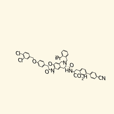 CC(C)c1ccccc1CN1Cc2cc3c(cc2C[C@H]1C(=O)N[C@@H](Cc1ccc(-c2ccc(C#N)cc2)cc1)C(=O)O)N(C)C(=O)C(c1ccc(OCc2ccc(Cl)c(Cl)c2)cc1)O3